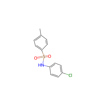 Cc1ccc(S(=O)(=O)Nc2ccc(Cl)cc2)cc1